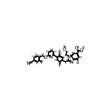 COCCn1c(Cc2cc(F)c(-c3cccc(OCc4ccc(C#N)cc4F)n3)cc2F)nc2c(I)cc(C(=O)OC)cc21